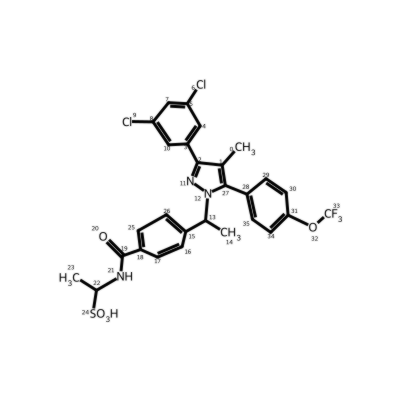 Cc1c(-c2cc(Cl)cc(Cl)c2)nn(C(C)c2ccc(C(=O)NC(C)S(=O)(=O)O)cc2)c1-c1ccc(OC(F)(F)F)cc1